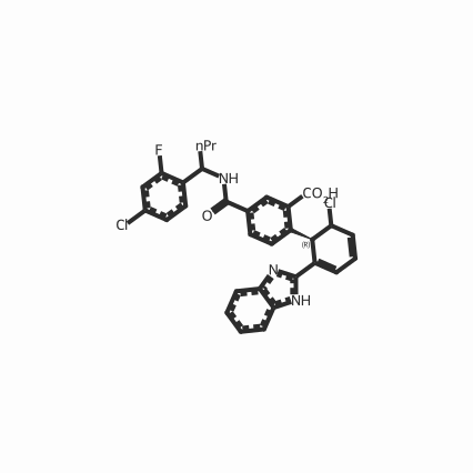 CCCC(NC(=O)c1ccc([C@@H]2C(c3nc4ccccc4[nH]3)=CC=CC2Cl)c(C(=O)O)c1)c1ccc(Cl)cc1F